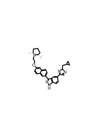 C[C@@H]1CCC[C@H](C)N1CCOc1ccc2cc(-c3n[nH]c4ccc(C5=NC(CC6CC6)N=N5)cc34)ccc2c1